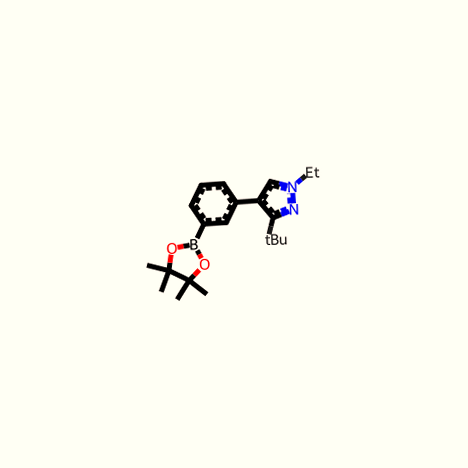 CCn1cc(-c2cccc(B3OC(C)(C)C(C)(C)O3)c2)c(C(C)(C)C)n1